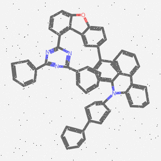 c1ccc(-c2ccc(N(c3ccc(-c4ccc5oc6cccc(-c7nc(-c8ccccc8)nc(-c8ccccc8)n7)c6c5c4)cc3)c3ccccc3-c3ccccc3)cc2)cc1